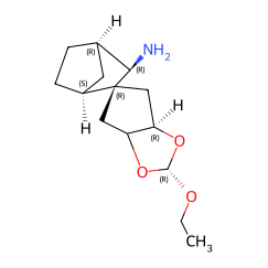 CCO[C@@H]1OC2C[C@@]3(C[C@H]2O1)[C@H]1CC[C@H](C1)[C@H]3N